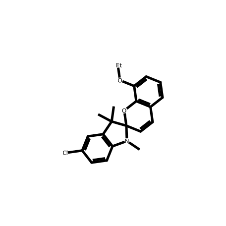 CCOc1cccc2c1OC1(C=C2)N(C)c2ccc(Cl)cc2C1(C)C